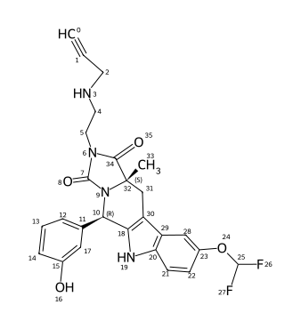 C#CCNCCN1C(=O)N2[C@H](c3cccc(O)c3)c3[nH]c4ccc(OC(F)F)cc4c3C[C@@]2(C)C1=O